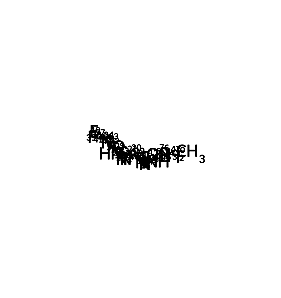 CC1(F)CC(c2cccc(CC(=O)Nc3nnc([C@H]4CCC[C@H](c5nnc(NC(=O)Cc6cccc(C7CC(F)(F)C7)n6)s5)C4)s3)n2)C1